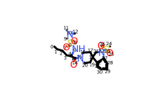 CCCCC(NS(=O)(=O)CN(C)C)C(=O)N1CCC2(CC1)CN(S(C)(=O)=O)c1ccccc12